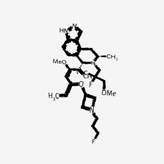 C=C(/C(=C\C(=C/C)OC1CN(CCCF)C1)OC)[C@@H]1c2ccc3[nH]ncc3c2C[C@@H](C)N1CC(C)(F)COC